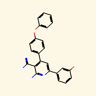 N=C(N)c1c(-c2ccc(Oc3ccccc3)cc2)cc(-c2cccc(O)c2)nc1N